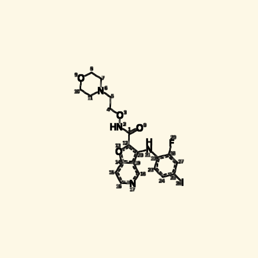 O=C(NOCCN1CCOCC1)c1oc2ccncc2c1Nc1ccc(I)cc1F